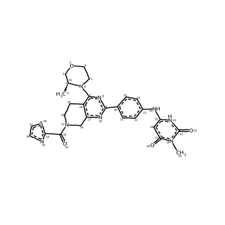 C[C@H]1COCCN1c1nc(-c2ccc(Nc3cc(=O)n(C)c(=O)[nH]3)cc2)nc2c1CCN(C(=O)c1nccs1)C2